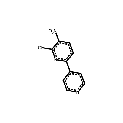 O=[N+]([O-])c1ccc(-c2ccncc2)nc1Cl